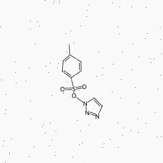 Cc1ccc(S(=O)(=O)On2ccnn2)cc1